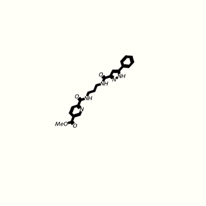 COC(=O)c1ccc(C(=O)NCCCNC(=O)c2cc(-c3ccccc3)[nH]n2)nc1